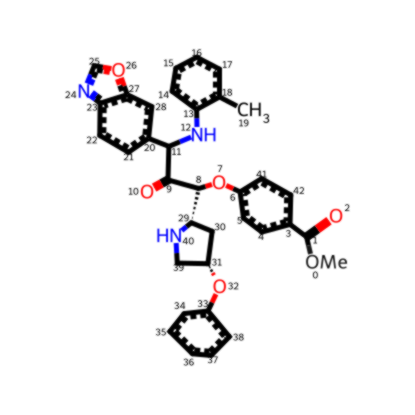 COC(=O)c1ccc(OC(C(=O)C(Nc2ccccc2C)c2ccc3ncoc3c2)[C@@H]2C[C@H](Oc3ccccc3)CN2)cc1